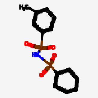 Cc1cccc(S(=O)(=O)NS(=O)(=O)c2ccccc2)c1